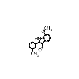 COc1cccc2c(C=O)c(-c3cccc(C)c3)[nH]c12